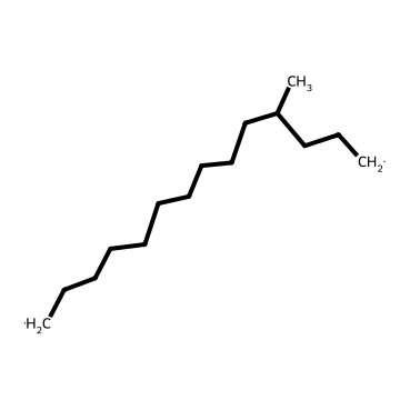 [CH2]CCCCCCCCCC(C)CC[CH2]